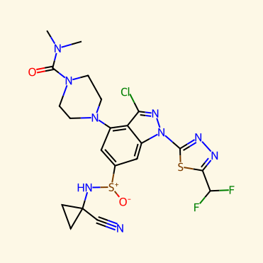 CN(C)C(=O)N1CCN(c2cc([S+]([O-])NC3(C#N)CC3)cc3c2c(Cl)nn3-c2nnc(C(F)F)s2)CC1